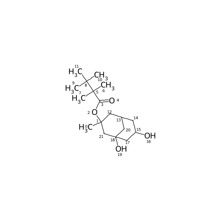 CC1(OC(=O)C(C)(C)C(C)(C)C)CC2CC(O)CC(O)(C2)C1